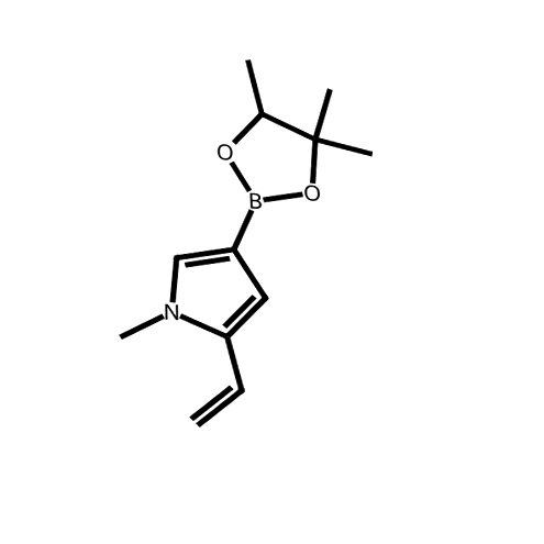 C=Cc1cc(B2OC(C)C(C)(C)O2)cn1C